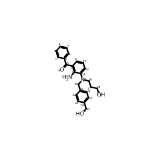 Nc1c(C(=O)c2ccccc2)cccc1N(CCCO)Cc1ccc(CO)cc1